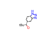 CC(C)(C)C(=O)c1ccc2[nH]nnc2c1